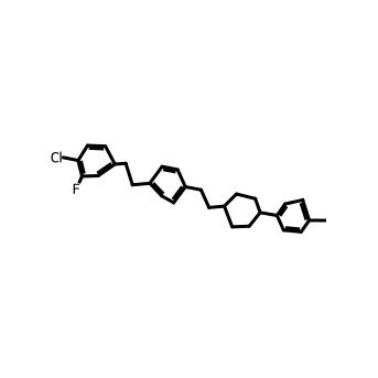 Cc1ccc(C2CCC(CCc3ccc(CCc4ccc(Cl)c(F)c4)cc3)CC2)cc1